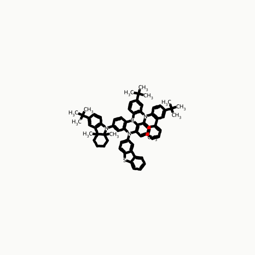 Cc1cc2c3c(c1)N(c1ccc(C(C)(C)C)cc1-c1ccccc1)c1cc(C(C)(C)C)ccc1B3c1ccc(N3c4ccc(C(C)(C)C)cc4C4(C)CCCCC34C)cc1N2c1ccc2sc3ccccc3c2c1